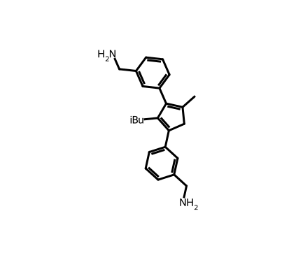 CCC(C)C1=C(c2cccc(CN)c2)CC(C)=C1c1cccc(CN)c1